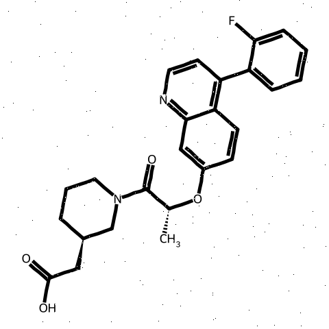 C[C@@H](Oc1ccc2c(-c3ccccc3F)ccnc2c1)C(=O)N1CCC[C@H](CC(=O)O)C1